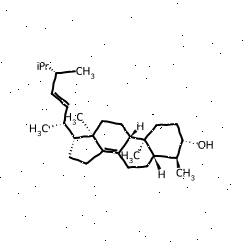 CC(C)[C@H](C)C=C[C@@H](C)[C@H]1CCC2=C3CC[C@H]4[C@H](C)[C@@H](O)CC[C@]4(C)[C@H]3CC[C@@]21C